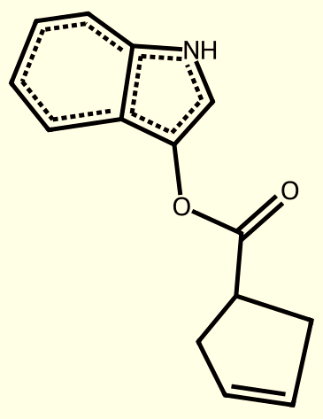 O=C(Oc1c[nH]c2ccccc12)C1CC=CC1